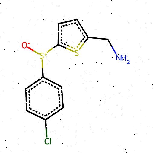 NCc1ccc([S+]([O-])c2ccc(Cl)cc2)s1